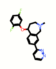 CN1CCC(Oc2cc(F)ccc2F)c2ccc(-c3cccnn3)cc2C1